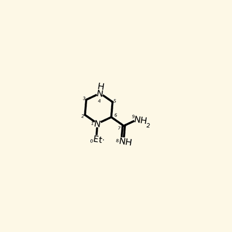 C[CH]N1CCNCC1C(=N)N